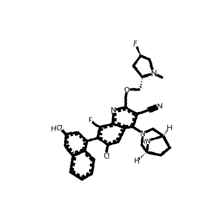 CN1C[C@H](F)C[C@H]1COc1nc2c(F)c(-c3cc(O)cc4ccccc34)c(Cl)cc2c(N2C[C@H]3CC[C@@H](C2)N3)c1C#N